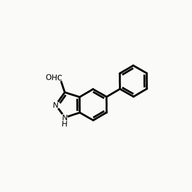 O=Cc1n[nH]c2ccc(-c3ccccc3)cc12